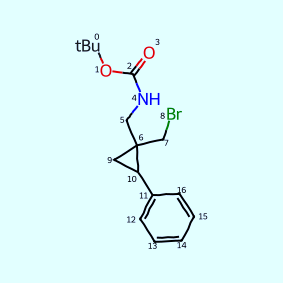 CC(C)(C)OC(=O)NCC1(CBr)CC1c1ccccc1